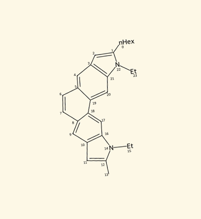 CCCCCCc1cc2cc3ccc4cc5cc(C)n(CC)c5cc4c3cc2n1CC